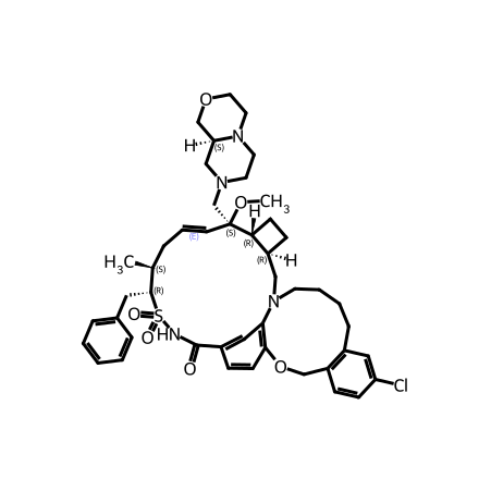 CO[C@]1(CN2CCN3CCOC[C@@H]3C2)/C=C/C[C@H](C)[C@@H](Cc2ccccc2)S(=O)(=O)NC(=O)c2ccc3c(c2)N(CCCCc2cc(Cl)ccc2CO3)C[C@@H]2CC[C@H]21